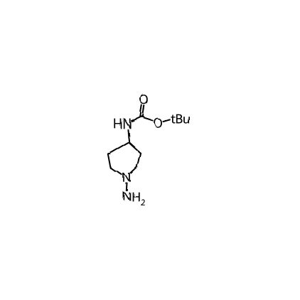 CC(C)(C)OC(=O)NC1CCN(N)CC1